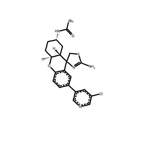 CC(C)(C)C(=O)N[C@H]1CC[C@@H]2Oc3ccc(-c4cncc(Cl)c4)cc3C3(CSC(N)=N3)[C@H]2C1